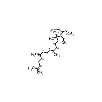 CCN(CC)C(CO)C(C)(O)CCCC(C)CCCC(C)CCCC(C)C